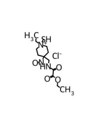 CCOC(=O)C(=O)NCC1(N=O)CC[N+](S)(CC)CC1.[Cl-]